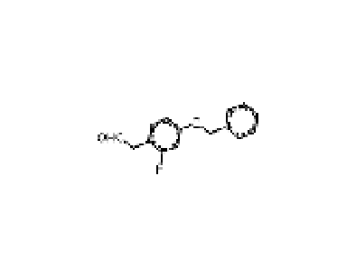 O=CCc1ccc(OCc2ccccc2)cc1F